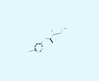 Cc1nsc(NC(=O)[C@@H](O)COC(C)C)n1